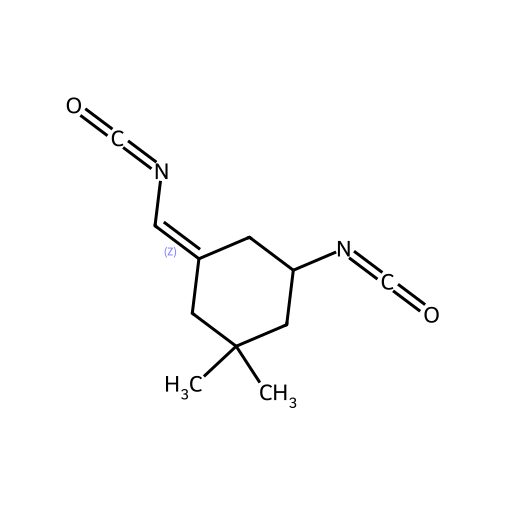 CC1(C)C/C(=C/N=C=O)CC(N=C=O)C1